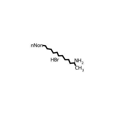 Br.CCCCCCCCCCCCCCCCCCCC(C)N